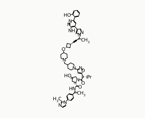 Cc1nccn1-c1ccc([C@H](C)NC(=O)[C@@H]2C[C@@H](O)CN2C(=O)[C@H](c2cc(N3CCC(CN4CCC(O[C@H]5C[C@H](C#C[C@@H](C)n6cc(-c7cc(-c8ccccc8O)nnc7N)cn6)C5)CC4)CC3)no2)C(C)C)cc1